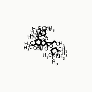 CCCCC(Cc1cc(C(C)(C)C)cc(C(C)(C)C)c1O)(C(=O)OC1CC(C)(C)N(C)C(C)(C)C1)C(=O)OC1CC(C)(C)N(C)C(C)(C)C1